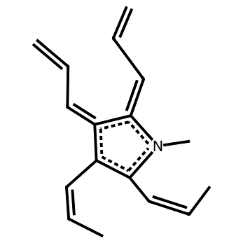 C=C/C=c1/c(/C=C\C)c(/C=C\C)n(C)/c1=C/C=C